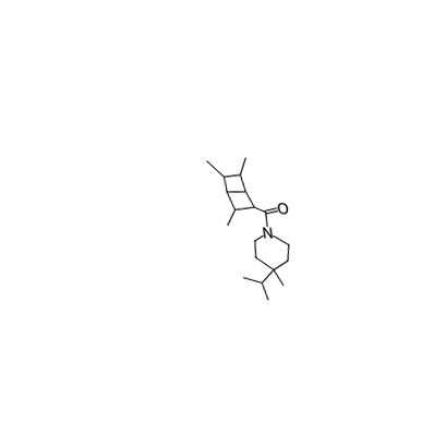 CC1C(C)C2C(C(=O)N3CCC(C)(C(C)C)CC3)C(C)C12